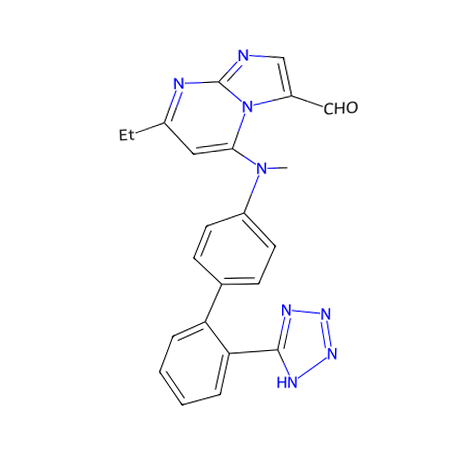 CCc1cc(N(C)c2ccc(-c3ccccc3-c3nnn[nH]3)cc2)n2c(C=O)cnc2n1